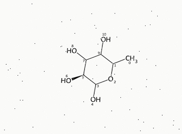 CC1OC(O)[C@@H](O)C(O)C1O